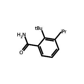 CC(C)c1cccc(C(N)=O)c1C(C)(C)C